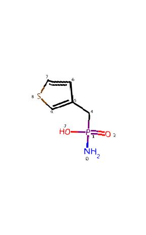 NP(=O)(O)Cc1ccsc1